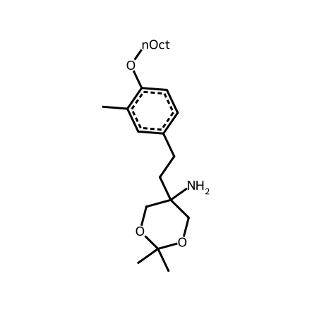 CCCCCCCCOc1ccc(CCC2(N)COC(C)(C)OC2)cc1C